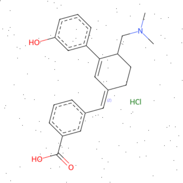 CN(C)CC1CC/C(=C/c2cccc(C(=O)O)c2)C=C1c1cccc(O)c1.Cl